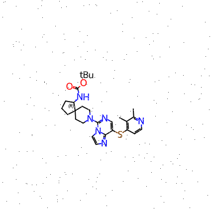 Cc1nccc(Sc2cnc(N3CCC4(CCC[C@H]4NC(=O)OC(C)(C)C)CC3)n3ccnc23)c1C